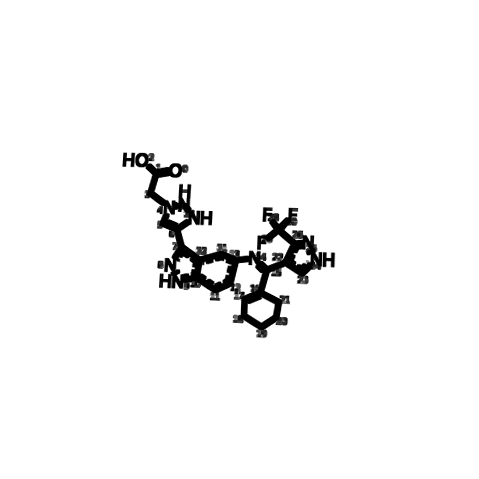 O=C(O)CN1C=C(c2n[nH]c3ccc(/N=C(\C4=CCCCC4)c4c[nH]nc4C(F)(F)F)cc23)NN1